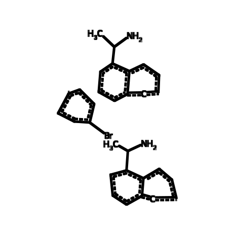 Brc1cc[c]cc1.CC(N)c1cccc2ccccc12.CC(N)c1cccc2ccccc12